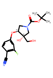 CC(C)(C)OC(=O)N1C[C@H](Oc2ccc(C#N)c(F)c2)[C@](O)(CO)C1